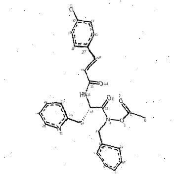 CC(=O)ON(Cc1ccccc1)C(=O)[C@H](Cc1ccccn1)NC(=O)C=Cc1ccc(Cl)cc1